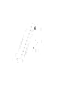 C=CCN.O=S(=O)(O)C(F)(F)C(F)(F)C(F)(F)C(F)(F)C(F)(F)C(F)(F)C(F)(F)C(F)(F)C(F)(F)C(F)C(F)(F)F